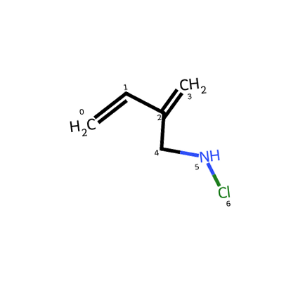 C=CC(=C)CNCl